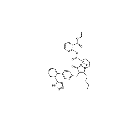 CCCCc1c(Cc2ccc(-c3ccccc3-c3nnn[nH]3)cc2)c(=O)n2n1C1CCC2(C(=O)Oc2ccccc2C(=O)OCC)CC1